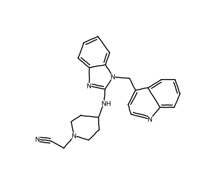 N#CCN1CCC(Nc2nc3ccccc3n2Cc2ccnc3ccccc23)CC1